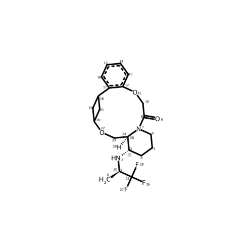 C[C@@H](N[C@H]1CCCN2C(=O)COc3ccccc3C3CC(C3)OC[C@H]12)C(F)(F)F